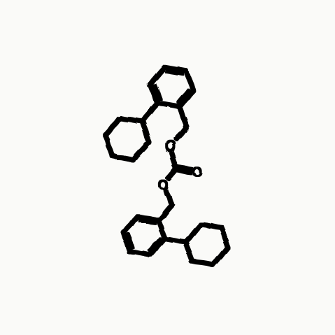 O=C(OCc1ccccc1C1CCCCC1)OCc1ccccc1C1CCCCC1